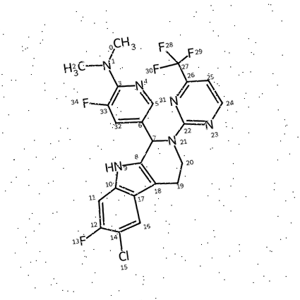 CN(C)c1ncc(C2c3[nH]c4cc(F)c(Cl)cc4c3CCN2c2nccc(C(F)(F)F)n2)cc1F